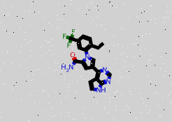 CCc1ccc(C(F)(F)F)cc1-n1cc(-c2ncnc3[nH]ccc23)cc1C(N)=O